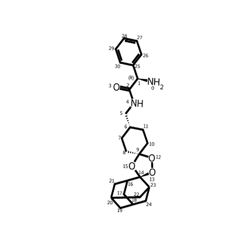 N[C@@H](C(=O)NC[C@H]1CC[C@]2(CC1)OO[C@]1(O2)C2CC3CC(C2)CC1C3)c1ccccc1